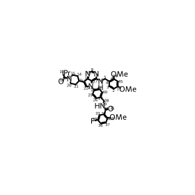 COc1ccc(CNc2ncnc3c(C4CCN(C(=O)C(C)C)CC4)cn(-c4ccc(CNC(=O)c5cc(F)ccc5OC)cc4)c23)c(OC)c1